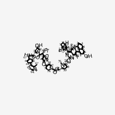 CCc1cccc2cc(O)cc(-c3ncc4c(N5C[C@H]6CC[C@@H](C5)N6)nc(OC[C@@H]5CC[C@@H](COC(=O)N6CCC(Oc7cc([C@@H](C(=O)N8C[C@H](O)C[C@H]8C(=O)N[C@@H](C)c8ccc(-c9scnc9C)cc8)C(C)C)on7)CC6)N5C)nc4c3F)c12